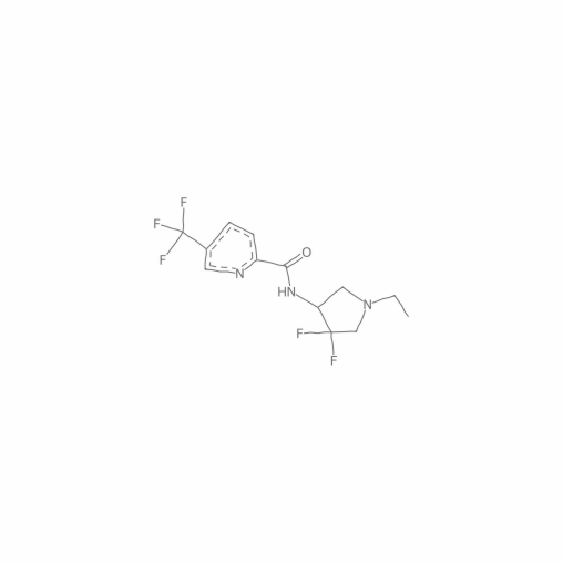 CCN1CC(NC(=O)c2ccc(C(F)(F)F)cn2)C(F)(F)C1